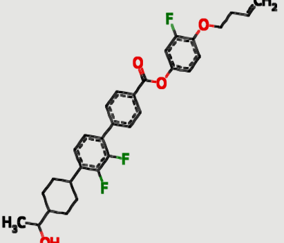 C=CCCOc1ccc(OC(=O)c2ccc(-c3ccc(C4CCC(C(C)O)CC4)c(F)c3F)cc2)cc1F